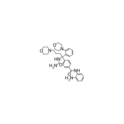 NC(=O)NC(CCCN1CCOCC1)(c1ccc(C(=O)Nc2ccccc2N)cc1)c1ccccc1N1CCOCC1